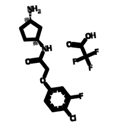 N[C@H]1CC[C@H](NC(=O)COc2ccc(Cl)c(F)c2)C1.O=C(O)C(F)(F)F